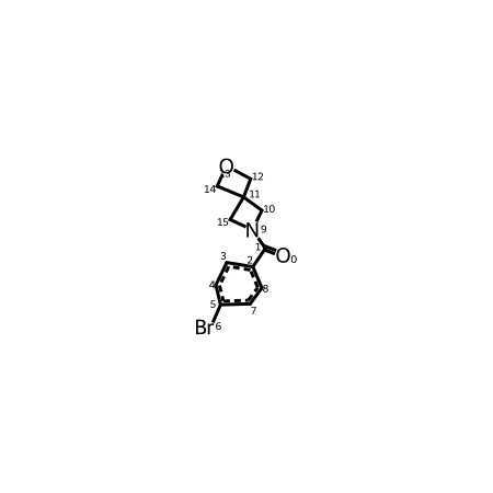 O=C(c1ccc(Br)cc1)N1CC2(COC2)C1